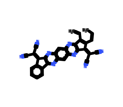 C=CC1=C(/C=C\C)C(=C(C#N)C#N)c2nc3cc4nc5c(nc4cc3nc21)C(=C(C#N)C#N)c1ccccc1-5